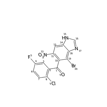 O=C(c1cc(F)ccc1Cl)c1c([N+](=O)[O-])cc2[nH]cnc2c1Br